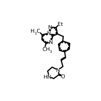 CCc1nn2c(C)cc(C)nc2c1Cc1ccc(C=CCN2CCNCC2=O)cc1